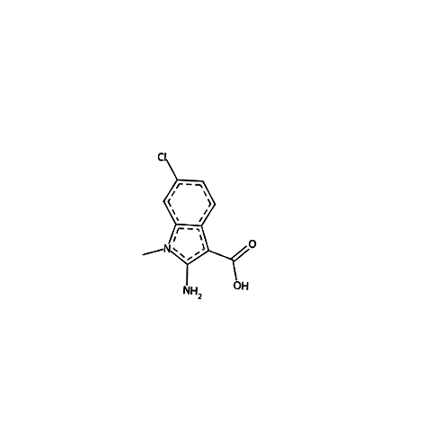 Cn1c(N)c(C(=O)O)c2ccc(Cl)cc21